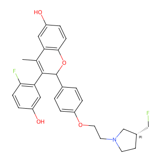 CC1=C(c2cc(O)ccc2F)C(c2ccc(OCCN3CC[C@@H](CF)C3)cc2)Oc2ccc(O)cc21